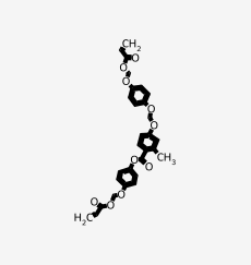 C=CC(=O)OCOc1ccc(OCOc2ccc(C(=O)Oc3ccc(OCOC(=O)C=C)cc3)c(C)c2)cc1